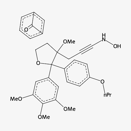 CCCOc1ccc(C2(c3cc(OC)c(OC)c(OC)c3)OCCC2(CC#CNO)OC)cc1.O=C1c2cccc1c2